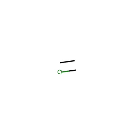 CC.CCl